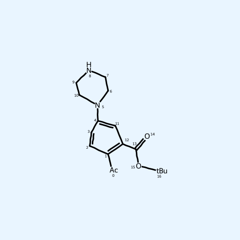 CC(=O)c1ccc(N2CCNCC2)cc1C(=O)OC(C)(C)C